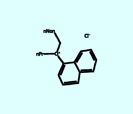 CCCCCCCCCC[O+](CCC)c1cccc2ccccc12.[Cl-]